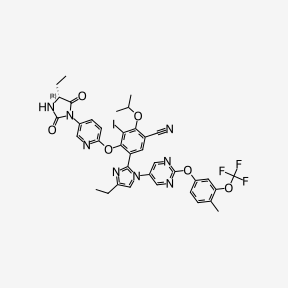 CCc1cn(-c2cnc(Oc3ccc(C)c(OC(F)(F)F)c3)nc2)c(-c2cc(C#N)c(OC(C)C)c(I)c2Oc2ccc(N3C(=O)N[C@H](CC)C3=O)cn2)n1